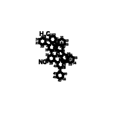 Cc1ccc(-c2ccc3c4ccccc4n(-c4c(-c5cc(-c6ccccc6)nc(-c6ccccc6)n5)cc(C#N)cc4-c4cc(-c5ccccc5)nc(-c5ccccc5)n4)c3c2)cc1